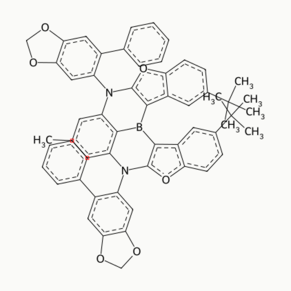 Cc1cc2c3c(c1)N(c1cc4c(cc1-c1ccccc1)OCO4)c1oc4ccc(C(C)(C)C)cc4c1B3c1c(oc3ccc(C(C)(C)C)cc13)N2c1cc2c(cc1-c1ccccc1)OCO2